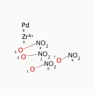 O=[N+]([O-])[O-].O=[N+]([O-])[O-].O=[N+]([O-])[O-].O=[N+]([O-])[O-].[Pd].[Zr+4]